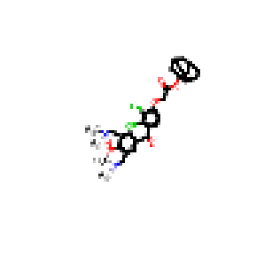 CN(C)Cc1cc(C(=O)c2ccc(OCC(=O)OC34CC5CC(CC(C5)C3)C4)c(Cl)c2Cl)cc(CN(C)C)c1O